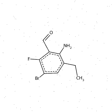 CCc1cc(Br)c(F)c(C=O)c1N